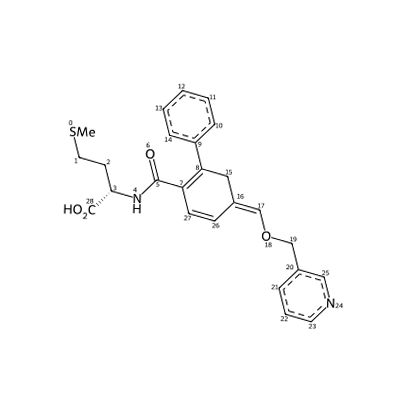 CSCC[C@H](NC(=O)C1=C(c2ccccc2)CC(=COCc2cccnc2)C=C1)C(=O)O